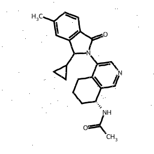 CC(=O)N[C@@H]1CCCc2c1cncc2N1C(=O)c2ccc(C)cc2C1C1CC1